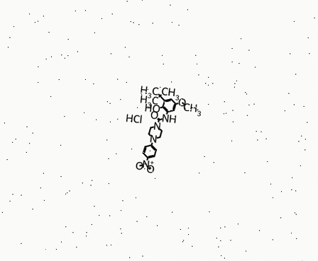 COc1cc(NC(=O)N2CCN(c3ccc([N+](=O)[O-])cc3)CC2)c(O)c(C(C)(C)C)c1.Cl